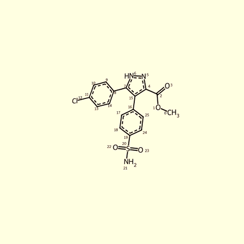 COC(=O)c1n[nH]c(-c2ccc(Cl)cc2)c1-c1ccc(S(N)(=O)=O)cc1